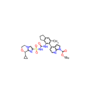 Cc1cc2c(c(NC(=O)NS(=O)(=O)c3cn4c(n3)C(C3CC3)OCC4)c1-c1ccnc3c1ccn3C(=O)OC(C)(C)C)CCC2